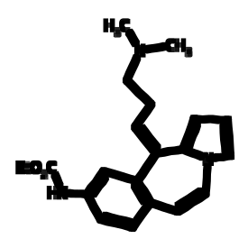 CCOC(=O)Nc1ccc2c(c1)C(=CCCN(C)C)c1cccn1C=C2